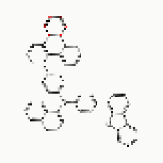 c1ccc(-c2ccccc2-c2c(-c3ccccc3)cccc2-c2ccc(N(c3ccc(-c4cccc5c4oc4ccccc45)cc3)c3cccc4ccccc34)cc2)cc1